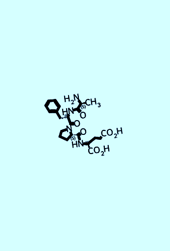 C[C@H](N)C(=O)N[C@@H](Cc1ccccc1)C(=O)N1CCC[C@H]1C(=O)N[C@@H](CCC(=O)O)C(=O)O